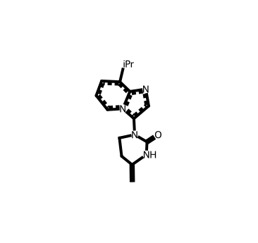 C=C1CCN(c2cnc3c(C(C)C)cccn23)C(=O)N1